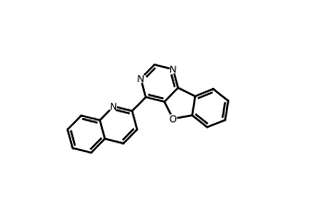 c1ccc2nc(-c3ncnc4c3oc3ccccc34)ccc2c1